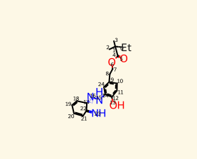 CCC(C)(C)C(=O)OCCc1ccc(O)c(N/N=C2/C=CC=CC2=N)c1